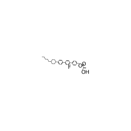 C=C(CO)C(=O)OCc1ccc(-c2ccc(-c3ccc(C4CCC(CCCCC)CC4)cc3)cc2F)cc1